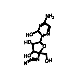 [N-]=[N+]=NC1(CO)OC(N2N=CC(N)=NC2O)C(O)C1O